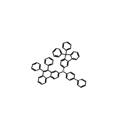 c1ccc(-c2ccc(N(c3ccc4c(c3)-c3ccccc3C4(c3ccccc3)c3ccccc3)c3ccc4c(c3)c(-c3ccccc3)c(-c3ccccc3)c3ccccc34)cc2)cc1